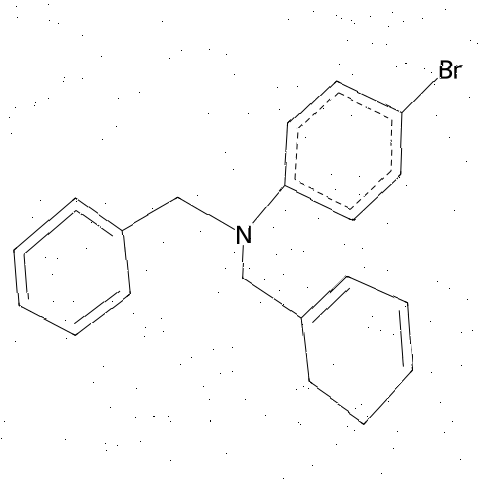 Brc1ccc(N(CC2=C=C=CC=C2)CC2=CC=CCC2)cc1